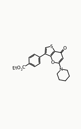 CCOC(=O)c1ccc(-c2csc3c(=O)cc(N4CCCCC4)oc23)cc1